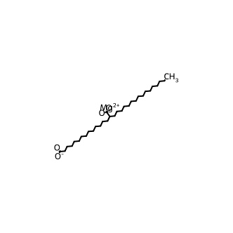 CCCCCCCCCCCCCCCCC(CCCCCCCCCCCCCC(=O)[O-])C(=O)[O-].[Mg+2]